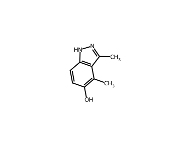 Cc1n[nH]c2ccc(O)c(C)c12